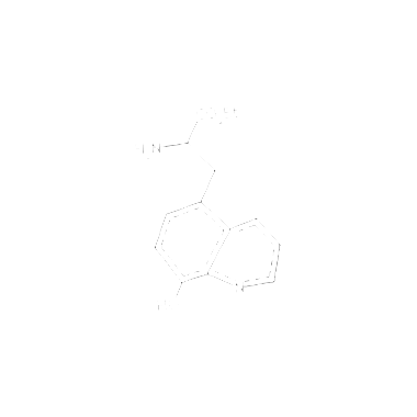 CCOC(=O)C(N)Cc1ccc(O)c2ncccc12